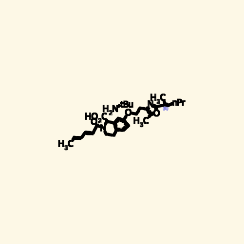 CC(C)(C)N.CC=CC=CC(=O)N1CCc2ccc(OCCc3nc(/C(C)=C/CCC)oc3C)cc2C1C(=O)O